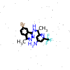 Cc1nnc(N[C@H](C)c2cc(N)cc(C(F)(F)F)n2)c2cc(Br)ccc12